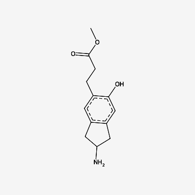 COC(=O)CCc1cc2c(cc1O)CC(N)C2